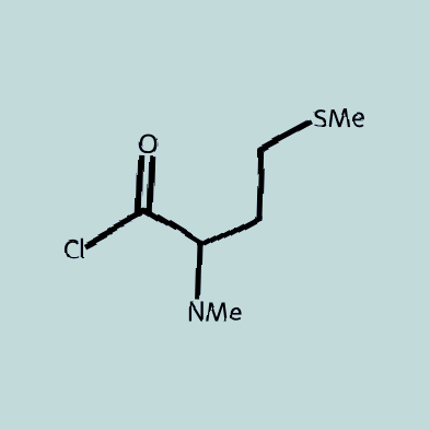 CNC(CCSC)C(=O)Cl